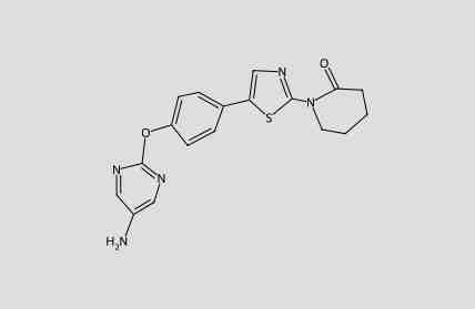 Nc1cnc(Oc2ccc(-c3cnc(N4CCCCC4=O)s3)cc2)nc1